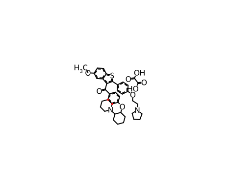 COc1ccc2sc(-c3ccc(OCCN4CCCC4)cc3)c(C(=O)c3ccc(OC4CCCCC4N4CCCCC4)cc3)c2c1.O=C(O)C(=O)O